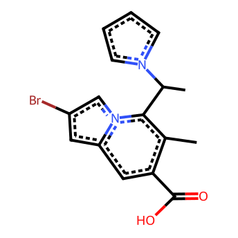 Cc1c(C(=O)O)cc2cc(Br)cn2c1C(C)n1cccc1